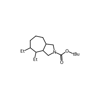 CCC1CCCC2CN(C(=O)OC(C)(C)C)CC2C1CC